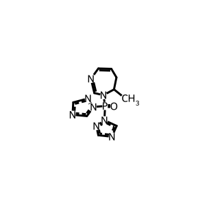 CC1CC=CN=CN1P(=O)(n1cncn1)n1cncn1